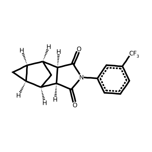 O=C1[C@@H]2[C@H]3C[C@H]([C@H]4C[C@H]43)[C@@H]2C(=O)N1c1cccc(C(F)(F)F)c1